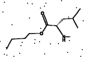 CCCCOC(=O)[C@H](CC(C)C)NC